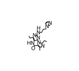 CCc1nc(NCCCn2ccnc2)nc2c1[nH]c(=O)c1c(C)nc(CC)n12